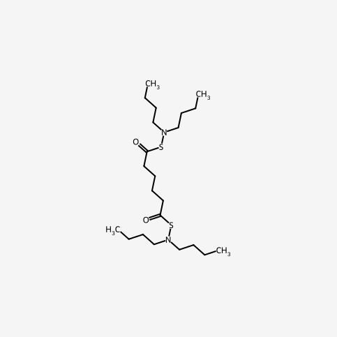 CCCCN(CCCC)SC(=O)CCCCC(=O)SN(CCCC)CCCC